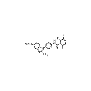 COc1ccc2c(c1)nc(C(F)(F)F)n2-c1ccc(NC(=O)c2c(F)ccc(F)c2F)cc1